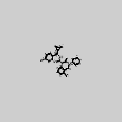 CC1=C(C(=O)N[C@H](c2ccc(Cl)cc2)C2CC2=O)c2cccc(Cl)c2CN1c1ccccc1